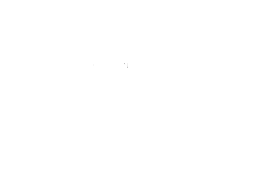 CCCCCCCCNC(C)(C)CC(C)(C)C